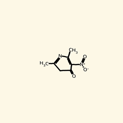 CC1=NC(C)=C([N+](=O)[O-])C(=O)C1